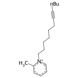 CCCCC#CCCCCCC[n+]1ccccc1C